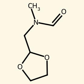 CN(C=O)CC1OCCO1